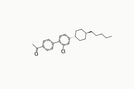 CCCCC[C@H]1CC[C@H](c2ccc(-c3ccc(C(C)=O)cc3)c(Cl)c2)CC1